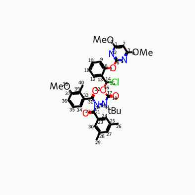 COc1cc(OC)nc(Oc2ccccc2C(Cl)OC(=O)N(N(C(=O)c2cc(C)cc(C)c2)C(=O)c2cccc(OC)c2C)C(C)(C)C)n1